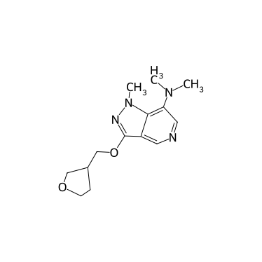 CN(C)c1cncc2c(OCC3CCOC3)nn(C)c12